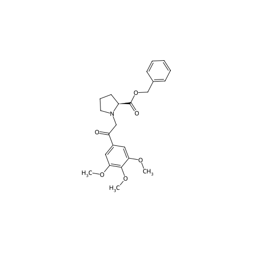 COc1cc(C(=O)CN2CCC[C@H]2C(=O)OCc2ccccc2)cc(OC)c1OC